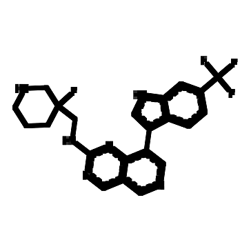 FC1(CNc2ncc3cncc(-c4c[nH]c5cc(C(F)(F)F)ccc45)c3n2)CCCNC1